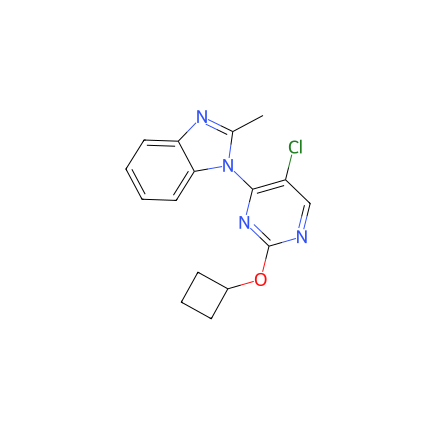 Cc1nc2ccccc2n1-c1nc(OC2CCC2)ncc1Cl